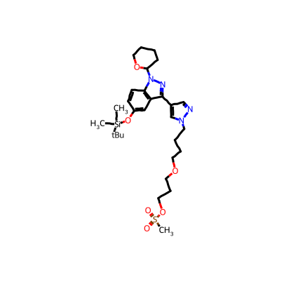 CC(C)(C)[Si](C)(C)Oc1ccc2c(c1)c(-c1cnn(CCCCOCCCOS(C)(=O)=O)c1)nn2C1CCCCO1